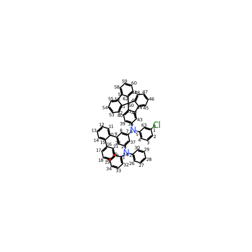 Clc1cccc(N(c2cc(-c3ccccc3-c3ccccc3)cc(N(c3ccccc3)c3ccccc3)c2)c2ccc3c(c2)-c2ccccc2C32c3ccccc3-c3ccccc32)c1